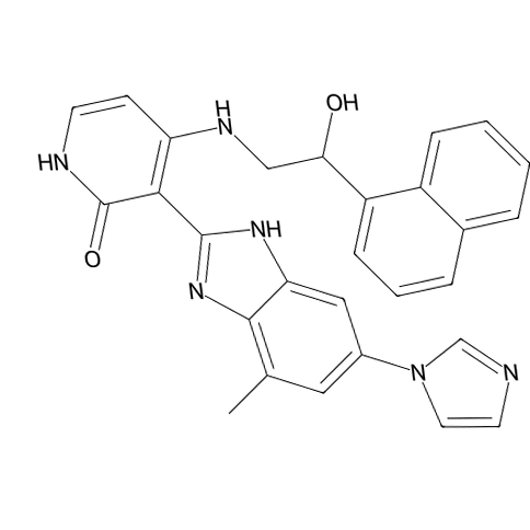 Cc1cc(-n2ccnc2)cc2[nH]c(-c3c(NCC(O)c4cccc5ccccc45)cc[nH]c3=O)nc12